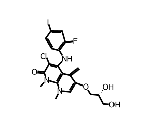 C=C1C(OC[C@H](O)CO)=CN(C)c2c1c(Nc1ccc(I)cc1F)c(Cl)c(=O)n2C